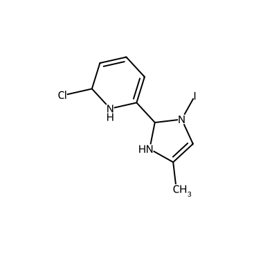 CC1=CN(I)C(C2=CC=CC(Cl)N2)N1